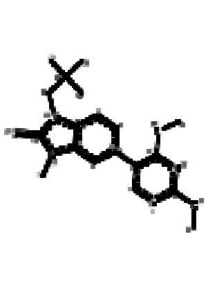 COc1ncc(-c2ccc3c(c2)n(C)c(=O)n3CC(C)(C)C)c(OC)n1